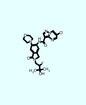 CC(C)(O)C(F)CN1Cc2cc(NC(=O)c3cnn4cc(Cl)cnc34)c(N3CCOCC3)cc2C1=O